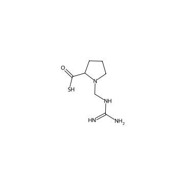 N=C(N)NCN1CCCC1C(=O)S